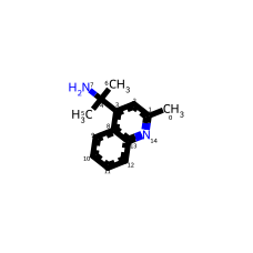 Cc1cc(C(C)(C)N)c2ccccc2n1